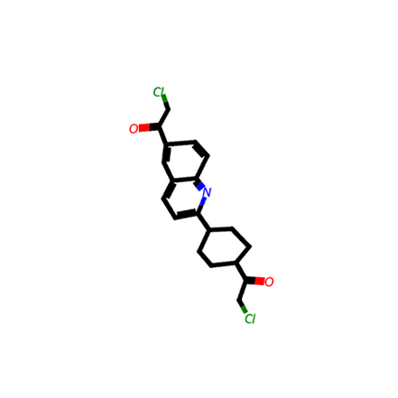 O=C(CCl)c1ccc2nc(C3CCC(C(=O)CCl)CC3)ccc2c1